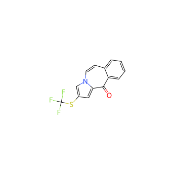 O=c1c2ccccc2ccn2cc(SC(F)(F)F)cc12